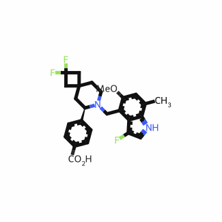 COc1cc(C)c2[nH]cc(F)c2c1CN1CCC2(C[C@@H]1c1ccc(C(=O)O)cc1)CC(F)(F)C2